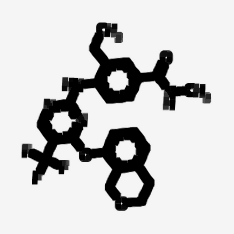 CCc1cc(C(=O)NC)ccc1Nc1ncc(C(F)(F)F)c(Oc2cccc3c2COCC3)n1